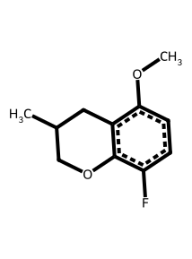 COc1ccc(F)c2c1CC(C)CO2